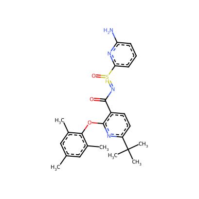 Cc1cc(C)c(Oc2nc(C(C)(C)C)ccc2C(=O)N=[SH](=O)c2cccc(N)n2)c(C)c1